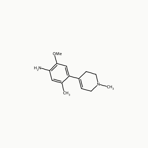 COc1cc(C2=CCN(C)CC2)c(C)cc1N